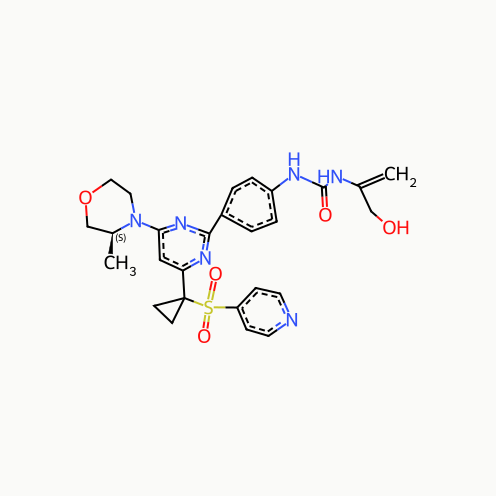 C=C(CO)NC(=O)Nc1ccc(-c2nc(N3CCOC[C@@H]3C)cc(C3(S(=O)(=O)c4ccncc4)CC3)n2)cc1